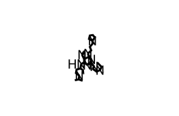 CC(C)N1CCC(Nc2nc(N3CCN(C)CC3)nc3c2ncn3CCCN2CCCC2)CC1